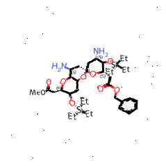 CC[Si](CC)(CC)OC1[C@H](CC(=O)OCc2ccccc2)O[C@]2(C[C@H](N)C3O[C@H](CC(=O)OC)C(O[Si](CC)(CC)CC)CC3O2)C[C@@H]1N